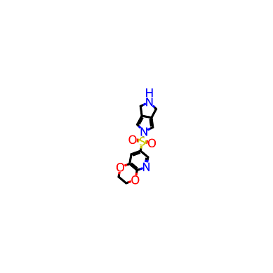 O=S(=O)(c1cnc2c(c1)OCCO2)n1cc2c(c1)CNC2